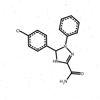 NC(=O)C1=NN(c2ccccc2)C(c2ccc(Cl)cc2)N1